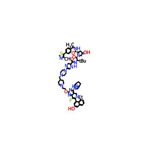 CCc1cccc2cc(O)cc(-c3ncc4c(N5CC6CCC(C5)N6)nc(OCCN5CCC(CN6CCN(c7cnc(C(=O)NC(C(=O)N8C[C@H](O)C[C@H]8C(=O)NC(C)c8ccc(-c9scnc9C)cc8)C(C)(C)C)cn7)CC6)CC5)nc4c3F)c12